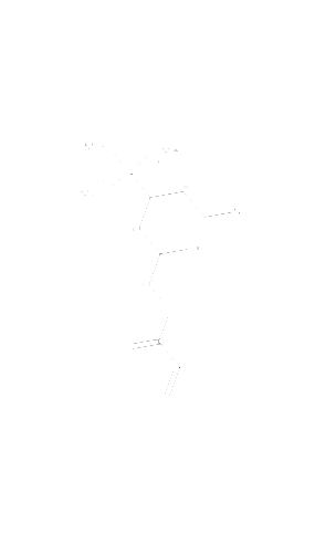 C=CC(=O)OCC(O)CC(CCN)[Si](OC)(OC)OC